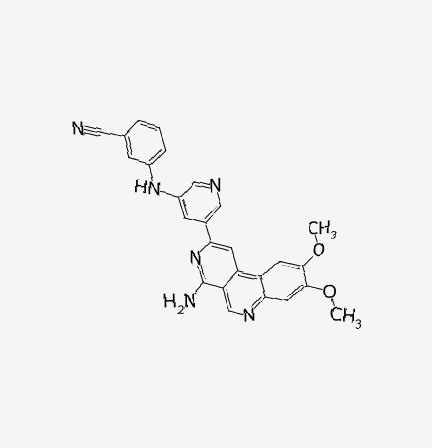 COc1cc2ncc3c(N)nc(-c4cncc(Nc5cccc(C#N)c5)c4)cc3c2cc1OC